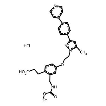 Cc1cc(-c2ccc(-c3ccncc3)cc2)nn1CCOc1ccc(CCC(=O)O)c(CNC(=O)OC(C)C)c1.Cl